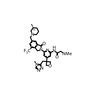 CNCC(=O)Nc1cc(C2(Cc3nncn3C)COC2)cc(N2Cc3c(cc(CN4CCC[C@H](C)C4)cc3C(F)(F)F)C2=O)n1